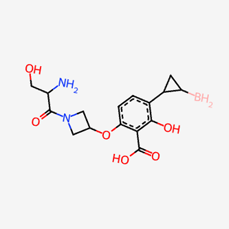 BC1CC1c1ccc(OC2CN(C(=O)C(N)CO)C2)c(C(=O)O)c1O